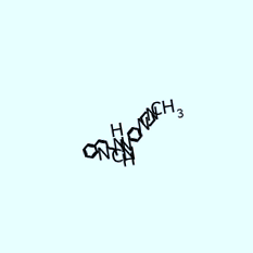 CN1CCN(c2ccc(NNC(C#N)c3ccc4ccccc4n3)cc2)CC1